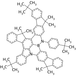 CC(C)(C)c1ccc(N2B3c4cc5c(cc4-n4c6ccc(C(C)(C)C)cc6c6c7c(c(c3c64)-c3cc4c(cc32)C(C)(C)c2ccc(C(C)(C)C)cc2-4)C(C)(C)c2ccccc2-7)C(C)(C)c2ccccc2-5)cc1